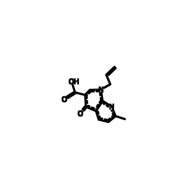 C=CCn1cc(C(=O)O)c(=O)c2ccc(C)nc21